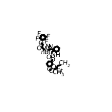 C=CCC(CC)C1(C)OOC2(CCCC(OC(=O)NCC3(c4cn(C(CCCC)C(=O)COc5c(F)c(F)cc(F)c5F)nn4)CCCCC3)C2)O1